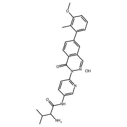 COc1cccc(-c2ccc3c(=O)n(-c4ccc(NC(=O)C(N)C(C)C)cn4)ncc3c2)c1C.Cl